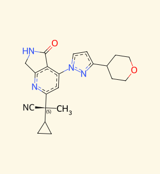 C[C@@](C#N)(c1cc(-n2ccc(C3CCOCC3)n2)c2c(n1)CNC2=O)C1CC1